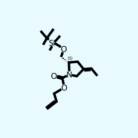 C=CCOC(=O)N1CC(=CC)C[C@H]1CO[Si](C)(C)C(C)(C)C